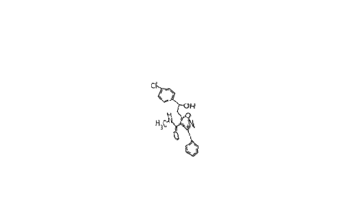 CNC(=O)c1c(-c2ccccc2)noc1CC(O)c1ccc(Cl)cc1